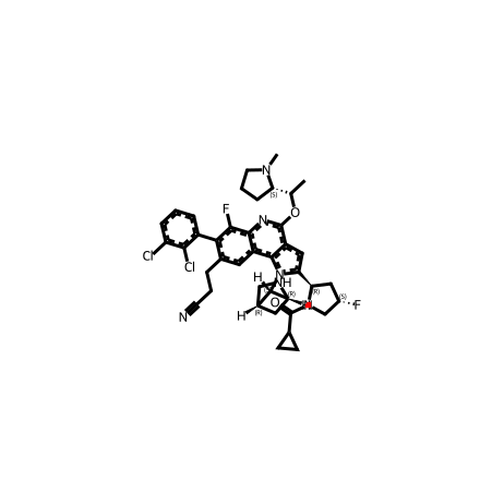 CC(Oc1nc2c(F)c(-c3cccc(Cl)c3Cl)c(CCC#N)cc2c2c1cc([C@H]1C[C@H](F)CN1C(=O)C1CC1)n2[C@H]1[C@H]2CN[C@@H]1C2)[C@@H]1CCCN1C